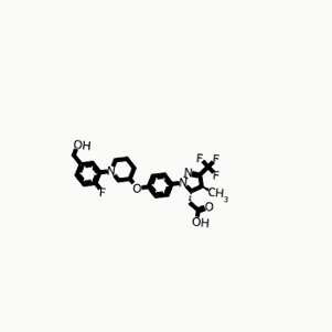 C[C@@H]1C(C(F)(F)F)=NN(c2ccc(OC3CCCN(c4cc(CO)ccc4F)C3)cc2)[C@H]1CC(=O)O